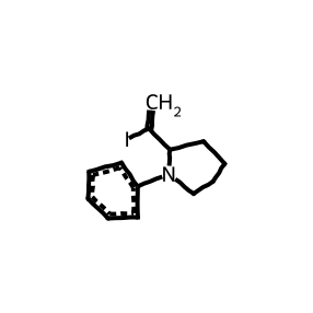 C=C(I)C1CCCCN1c1ccccc1